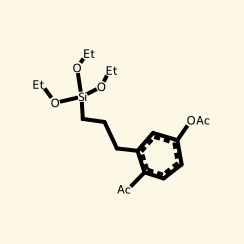 CCO[Si](CCCc1cc(OC(C)=O)ccc1C(C)=O)(OCC)OCC